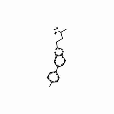 CC(CCc1nc2[c]c(-c3ccc(Br)cc3)ccc2s1)S(=O)(=O)O